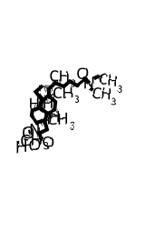 CCN(CC)C(=O)CCC[C@@H](C)[C@H]1CC[C@H]2[C@@H]3CCC(=NOC)[C@](C)(CCC(=O)O)[C@H]3CC[C@]12C